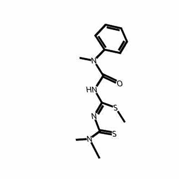 CSC(=NC(=S)N(C)C)NC(=O)N(C)c1ccccc1